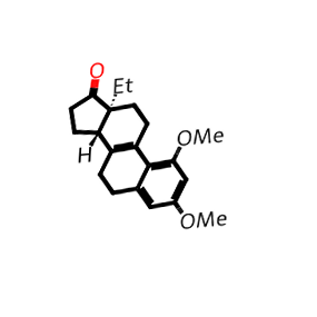 CC[C@]12CCC3=C(CCc4cc(OC)cc(OC)c43)[C@@H]1CCC2=O